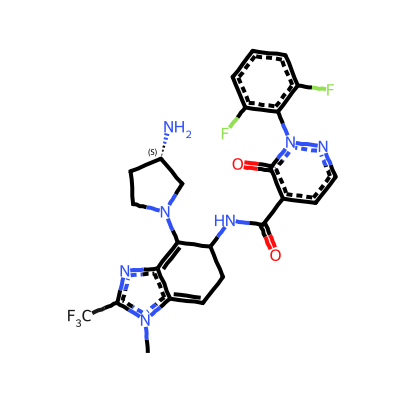 Cn1c(C(F)(F)F)nc2c1=CCC(NC(=O)c1ccnn(-c3c(F)cccc3F)c1=O)C=2N1CC[C@H](N)C1